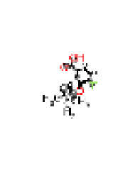 CC(C)(C)[Si](C)(C)Oc1cc(C(=O)O)ccc1F